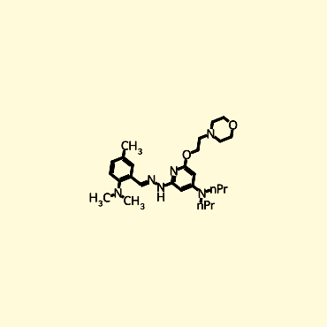 CCCN(CCC)c1cc(N/N=C/c2cc(C)ccc2N(C)C)nc(OCCN2CCOCC2)c1